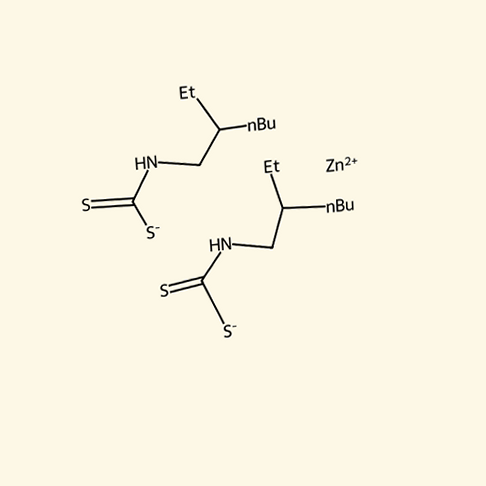 CCCCC(CC)CNC(=S)[S-].CCCCC(CC)CNC(=S)[S-].[Zn+2]